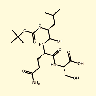 CC(C)C[C@H](NC(=O)OC(C)(C)C)C(O)N[C@H](CCC(N)=O)C(=O)N[C@@H](CO)C(=O)O